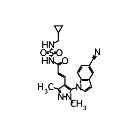 Cc1nn(C)c(-n2ccc3cc(C#N)ccc32)c1C=CC(=O)NS(=O)(=O)NCC1CC1